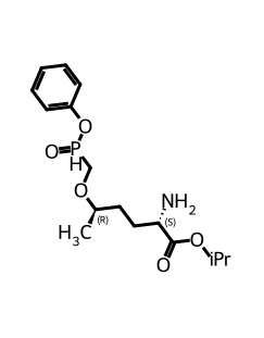 CC(C)OC(=O)[C@@H](N)CC[C@@H](C)OC[PH](=O)Oc1ccccc1